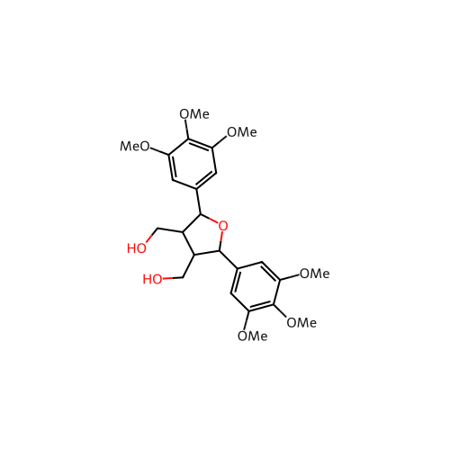 COc1cc(C2OC(c3cc(OC)c(OC)c(OC)c3)C(CO)C2CO)cc(OC)c1OC